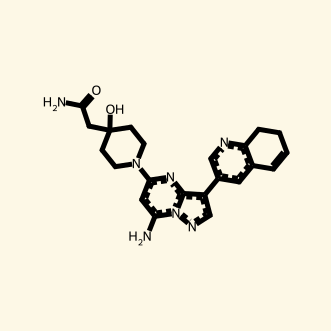 NC(=O)CC1(O)CCN(c2cc(N)n3ncc(-c4cnc5c(c4)C=CCC5)c3n2)CC1